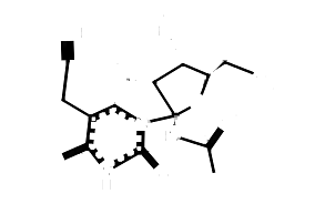 C#CCc1cn([C@]2(NC(=O)C(F)(F)F)O[C@H](CO)[C@@H](O)[C@H]2O)c(=O)[nH]c1=O